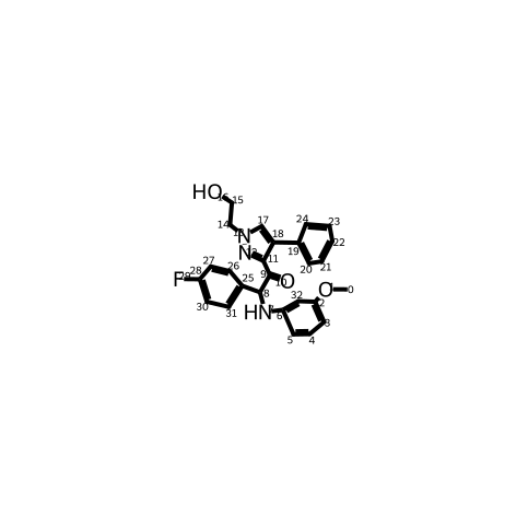 COc1cccc(NC(C(=O)c2nn(CCO)cc2-c2ccccc2)c2ccc(F)cc2)c1